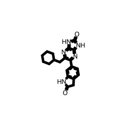 O=C1Cc2ccc(-c3nc4[nH]c(=O)[nH]c4nc3CC3CCCCC3)cc2N1